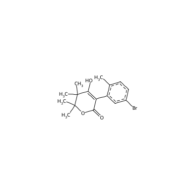 Cc1ccc(Br)cc1C1=C(O)C(C)(C)C(C)(C)OC1=O